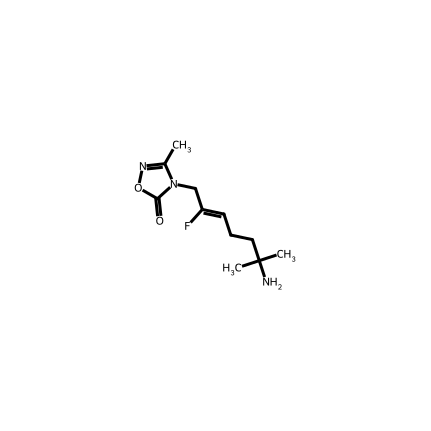 Cc1noc(=O)n1CC(F)=CCCC(C)(C)N